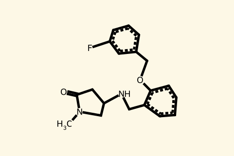 CN1CC(NCc2ccccc2OCc2cccc(F)c2)CC1=O